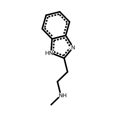 CNCCc1nc2ccccc2[nH]1